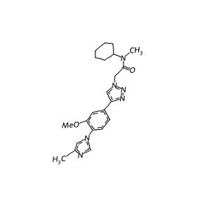 COc1cc(-c2cn(CC(=O)N(C)C3CCCCC3)nn2)ccc1-n1cnc(C)c1